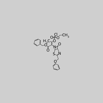 CCOP(=O)(Cl)OC(C)=C(C(=O)OCc1ccccc1)N1C(=O)C2N=C(COc3ccccc3)SC21